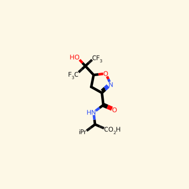 CC(C)C(NC(=O)C1=NOC(C(O)(C(F)(F)F)C(F)(F)F)C1)C(=O)O